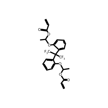 C=CC(=O)OC(C)Oc1ccccc1C(c1ccccc1OC(C)OC(=O)C=C)(C(F)(F)F)C(F)(F)F